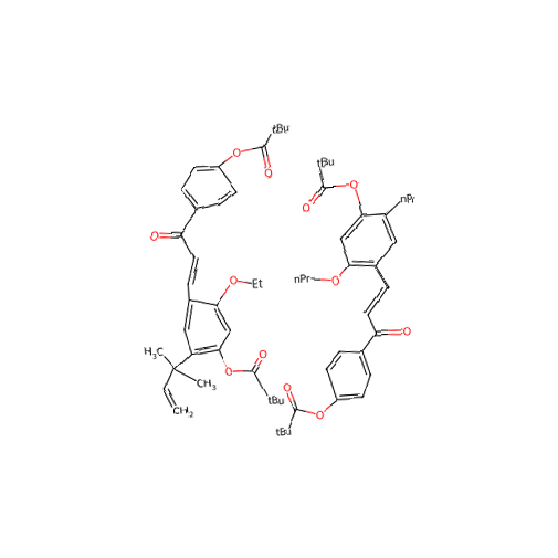 C=CC(C)(C)c1cc(/C=C/C(=O)c2ccc(OC(=O)C(C)(C)C)cc2)c(OCC)cc1OC(=O)C(C)(C)C.CCCOc1cc(OC(=O)C(C)(C)C)c(CCC)cc1/C=C/C(=O)c1ccc(OC(=O)C(C)(C)C)cc1